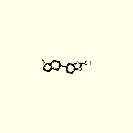 Cn1ccc2cc(-c3ccc4oc(S)nc4c3)ccc21